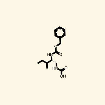 CCC(C)[C@@H](CNC(=O)O)NC(=O)OCc1ccccc1